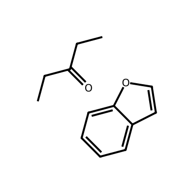 CCC(=O)CC.c1ccc2occc2c1